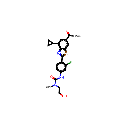 CCCN(CCO)C(=O)Nc1ccc(-c2nc3c(C4CC4)cc(C(=O)OC)cc3s2)c(F)c1